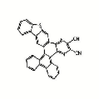 N#Cc1nc2c3cc4sc5ccccc5c4cc3c3c4ccccc4c4ccccc4c3c2nc1C#N